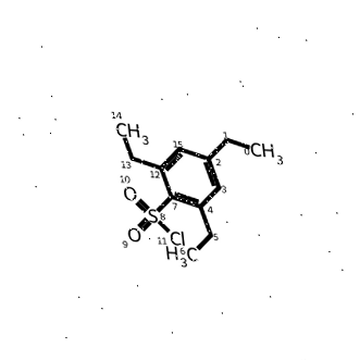 CCc1cc(CC)c(S(=O)(=O)Cl)c(CC)c1